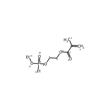 C=C(C)C(=O)OCCOP(=O)(CC)OCC